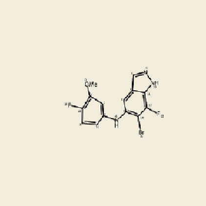 COc1cc(Nc2cc3cn[nH]c3c(F)c2Br)ccc1F